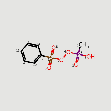 CP(=O)(O)OOS(=O)(=O)c1ccccc1